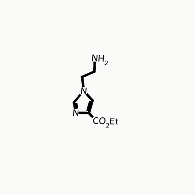 CCOC(=O)c1cn(CCN)cn1